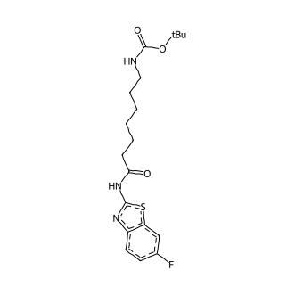 CC(C)(C)OC(=O)NCCCCCCC(=O)Nc1nc2ccc(F)cc2s1